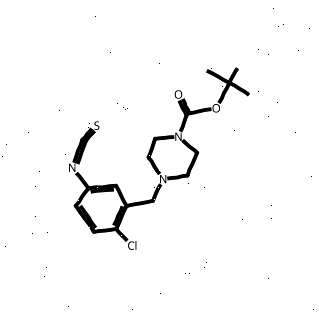 CC(C)(C)OC(=O)N1CCN(Cc2cc(N=C=S)ccc2Cl)CC1